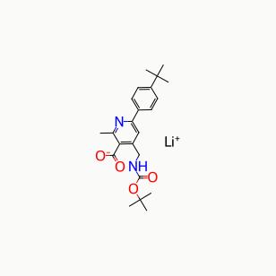 Cc1nc(-c2ccc(C(C)(C)C)cc2)cc(CNC(=O)OC(C)(C)C)c1C(=O)[O-].[Li+]